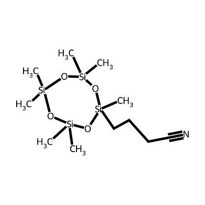 C[Si]1(C)O[Si](C)(C)O[Si](C)(CCCC#N)O[Si](C)(C)O1